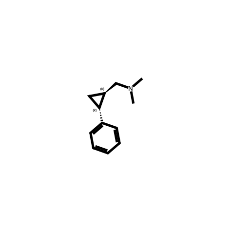 CN(C)C[C@@H]1C[C@H]1c1ccccc1